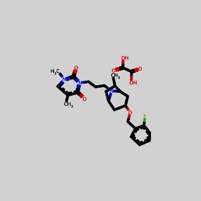 Cc1cn(C)c(=O)n(CCCN2C3CC(OCc4ccccc4F)CC2C(C)C3)c1=O.O=C(O)C(=O)O